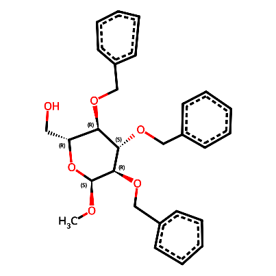 CO[C@H]1O[C@H](CO)[C@@H](OCc2ccccc2)[C@H](OCc2ccccc2)[C@H]1OCc1ccccc1